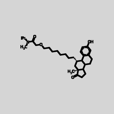 CC(C)N(C)C(=O)COCCCCCCCC[C@H]1C[C@]2(C)C(=O)CCC2C2CCc3cc(O)ccc3C21